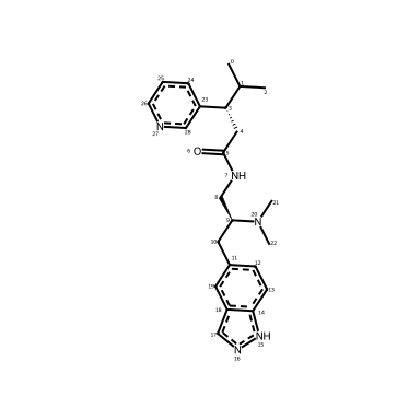 CC(C)[C@H](CC(=O)NC[C@H](Cc1ccc2[nH]ncc2c1)N(C)C)c1cccnc1